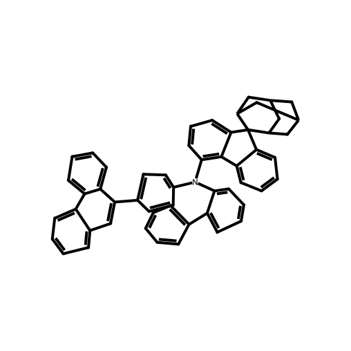 c1ccc(-c2ccccc2N(c2ccc(-c3cc4ccccc4c4ccccc34)cc2)c2cccc3c2-c2ccccc2C32C3CC4CC(C3)CC2C4)cc1